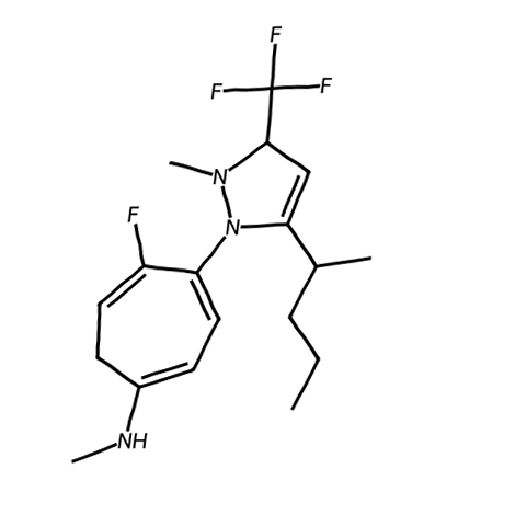 CCCC(C)C1=CC(C(F)(F)F)N(C)N1C1=CC=C(NC)CC=C1F